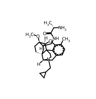 CO[C@]12CC[C@@]3(C[C@@H]1CNC(=O)[C@H](C)N)[C@H]1Cc4ccc(C)c5c4C3(CCN1CC1CC1)[C@H]2O5